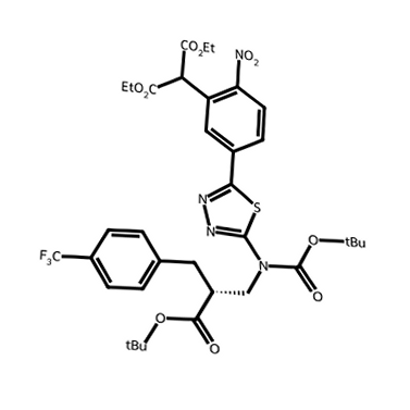 CCOC(=O)C(C(=O)OCC)c1cc(-c2nnc(N(C[C@@H](Cc3ccc(C(F)(F)F)cc3)C(=O)OC(C)(C)C)C(=O)OC(C)(C)C)s2)ccc1[N+](=O)[O-]